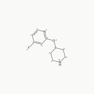 Fc1ccnc(OC2CCNCC2)c1